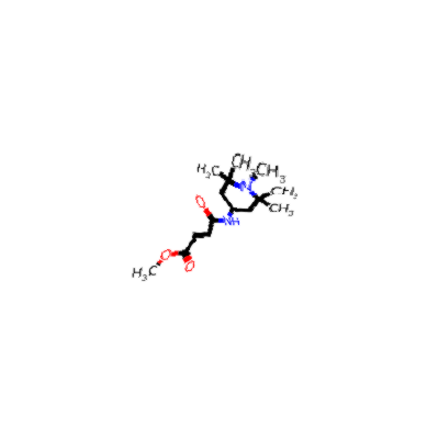 COC(=O)CCC(=O)NC1CC(C)(C)N(C)C(C)(C)C1